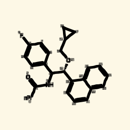 CCCC(=O)NC(c1ccc(F)cc1)[C@H](OCC1CC1)c1cccc2ccccc12